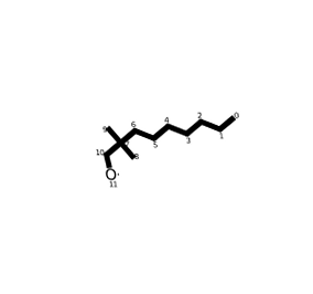 CCCCCCCC(C)(C)C[O]